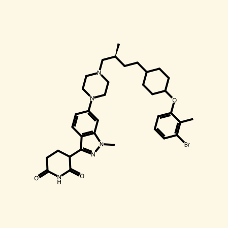 Cc1c(Br)cccc1OC1CCC(CC[C@H](C)CN2CCN(c3ccc4c(C5CCC(=O)NC5=O)nn(C)c4c3)CC2)CC1